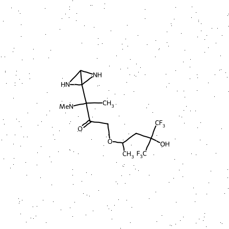 CNC(C)(C(=O)COC(C)CC(O)(C(F)(F)F)C(F)(F)F)C12NC1N2